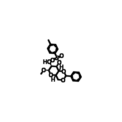 CO[C@H]1O[C@@H]2COC(c3ccccc3)O[C@@H]2[C@H](OS(=O)(=O)c2ccc(C)cc2)[C@H]1O